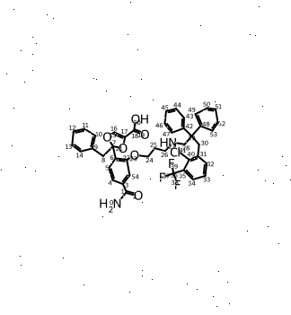 NC(=O)c1ccc(C2(Cc3ccccc3)OC=C(C(=O)O)O2)c(OCCCNCC(Cc2cccc(C(F)(F)F)c2Cl)(c2ccccc2)c2ccccc2)c1